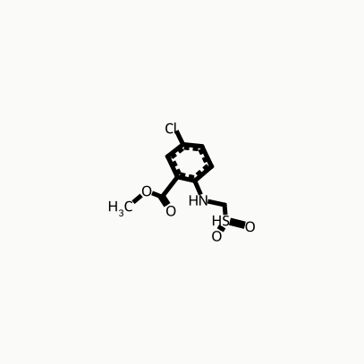 COC(=O)c1cc(Cl)ccc1NC[SH](=O)=O